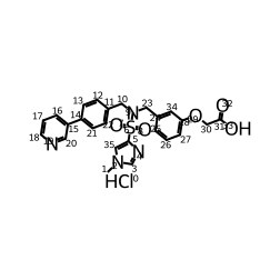 Cl.Cn1cnc(S(=O)(=O)N(Cc2ccc(-c3cccnc3)cc2)Cc2cccc(OCC(=O)O)c2)c1